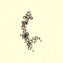 Cc1ccc(-c2cc(C(F)(F)F)nn2-c2ccc(S(=O)(=O)NC(=O)OCC3CCN(/[N+]([O-])=N/OCN4C(=O)c5ccccc5C4=O)C3)cc2)cc1